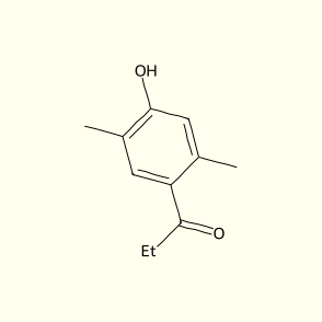 CCC(=O)c1cc(C)c(O)cc1C